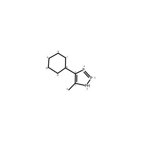 Cc1[pH]ppc1C1CCCCC1